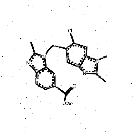 COC(=O)c1ccc2nc(C)n(Cc3cc4nc(C)n(C)c4cc3Cl)c2n1